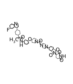 C[C@@H](C(=O)Nc1cccc(OC2CCN(C(=O)CN3CCN(c4ccc5c(c4)C(=O)N(C4CCC(=O)NC4=O)C5=O)CC3)CC2)c1)C1CCC(c2ccnc3ccc(F)cc23)CC1